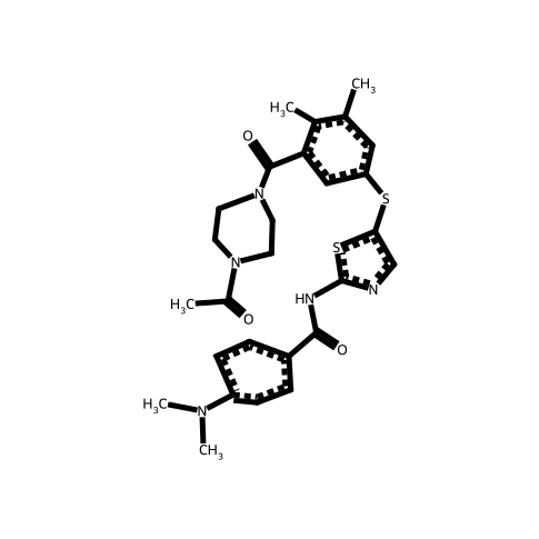 CC(=O)N1CCN(C(=O)c2cc(Sc3cnc(NC(=O)c4ccc(N(C)C)cc4)s3)cc(C)c2C)CC1